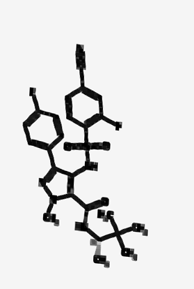 C[C@H](NC(=O)c1c(NS(=O)(=O)c2ccc(C#N)cc2F)c(-c2ccc(F)cc2)nn1C)C(C)(C)C